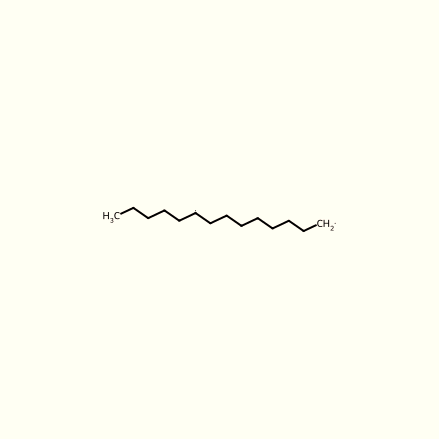 [CH2]CCCCCCC[CH]CCCCC